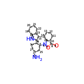 Nc1cccc(-n2oc(=O)c3cccc(-c4c[nH]c5ccccc45)c32)c1